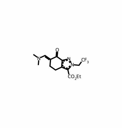 CCOC(=O)c1c2c(nn1CC(F)(F)F)C(=O)C(=CN(C)C)CC2